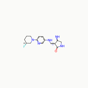 N=C1CNC(=O)/C1=C/Nc1ccc(N2CCC[C@H](F)C2)nc1